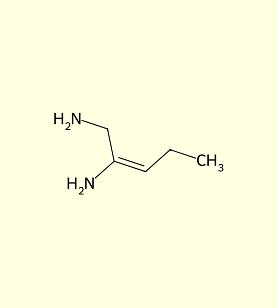 CC/C=C(/N)CN